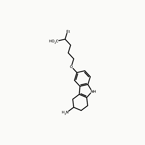 CCC(CCCOc1ccc2[nH]c3c(c2c1)CC(N)CC3)C(=O)O